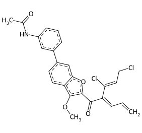 C=CC=C(C(=O)c1oc2cc(-c3cccc(NC(C)=O)c3)ccc2c1OC)C(Cl)=CCCl